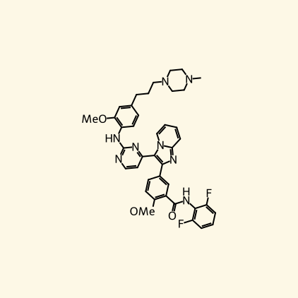 COc1cc(CCCN2CCN(C)CC2)ccc1Nc1nccc(-c2c(-c3ccc(OC)c(C(=O)Nc4c(F)cccc4F)c3)nc3ccccn23)n1